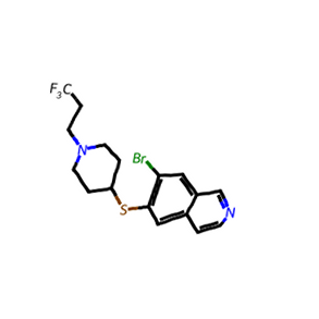 FC(F)(F)CCN1CCC(Sc2cc3ccncc3cc2Br)CC1